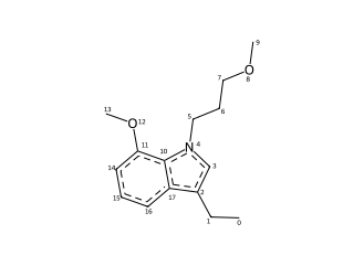 CCc1cn(CCCOC)c2c(OC)cccc12